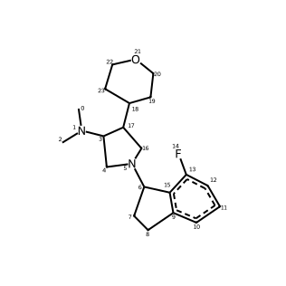 CN(C)C1CN(C2CCc3cccc(F)c32)CC1C1CCOCC1